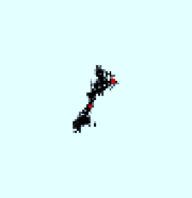 C[C@H](Oc1cc(-c2n[nH]c(Nc3ccn(CCOCCOCC(=O)N[C@H](C(=O)N4CC[C@@H](O)C4)C(C)(C)C)n3)c2C(N)=O)ccc1NSC(F)F)c1ccc(F)cc1